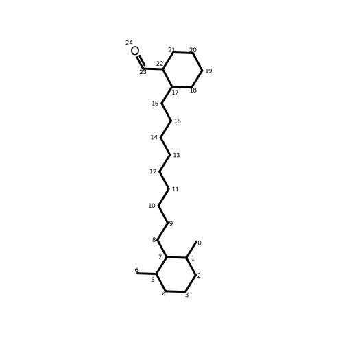 CC1CCCC(C)C1CCCCCCCCCC1CCCCC1C=O